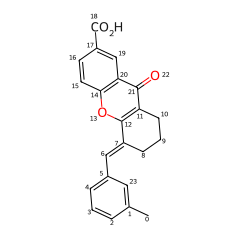 Cc1cccc(C=C2CCCc3c2oc2ccc(C(=O)O)cc2c3=O)c1